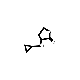 O=C1OCCC1NC1CC1